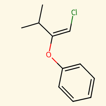 CC(C)C(=CCl)Oc1ccccc1